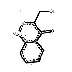 O=c1c(CO)n[nH]c2ccccc12